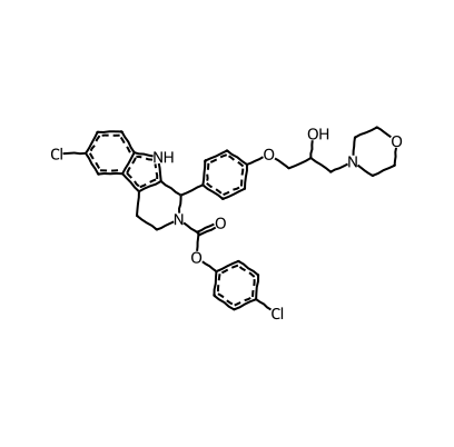 O=C(Oc1ccc(Cl)cc1)N1CCc2c([nH]c3ccc(Cl)cc23)C1c1ccc(OCC(O)CN2CCOCC2)cc1